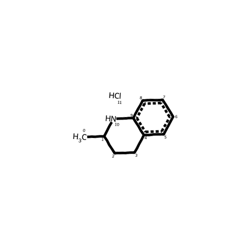 CC1CCc2ccccc2N1.Cl